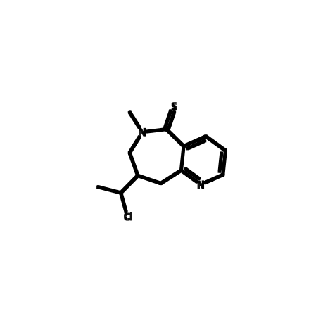 CC(Cl)C1Cc2ncccc2C(=S)N(C)C1